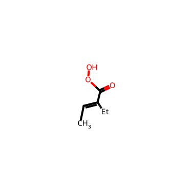 C/C=C(\CC)C(=O)OO